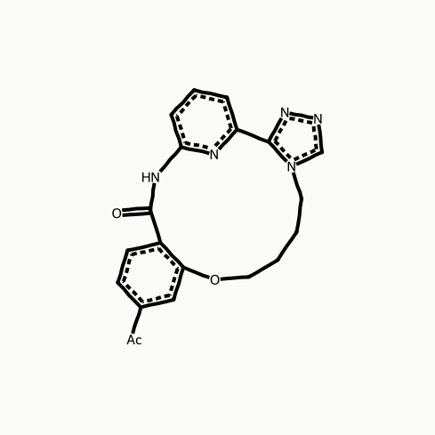 CC(=O)c1ccc2c(c1)OCCCCn1cnnc1-c1cccc(n1)NC2=O